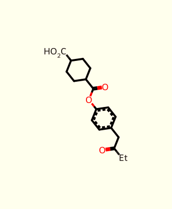 CCC(=O)Cc1ccc(OC(=O)C2CCC(C(=O)O)CC2)cc1